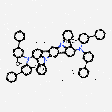 Cc1ccc(-c2ccccc2)cc1N(c1cccc(-c2ccccc2)c1)c1ccc2c3cc4c(cc3n3c5ccccc5c1c23)c1ccc(N(c2cc(-c3ccccc3)ccc2C)c2cc(-c3ccccc3)ccc2C)c2c3ccccc3n4c12